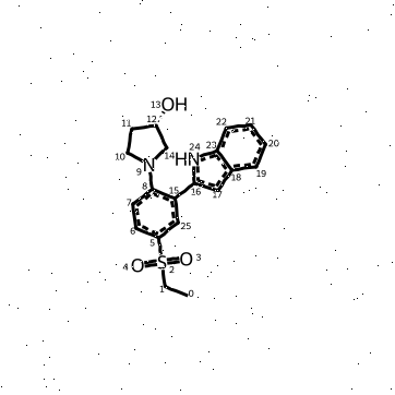 CCS(=O)(=O)c1ccc(N2CC[C@H](O)C2)c(-c2cc3ccccc3[nH]2)c1